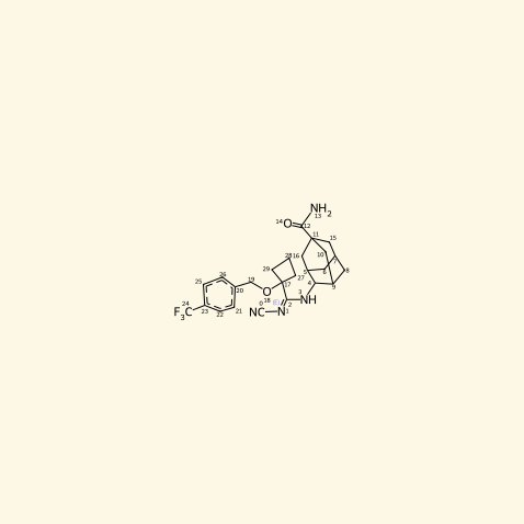 N#C/N=C(/NC1C2CC3CC1CC(C(N)=O)(C3)C2)C1(OCc2ccc(C(F)(F)F)cc2)CCC1